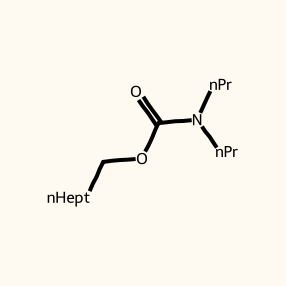 CCCCCCCCOC(=O)N(CCC)CCC